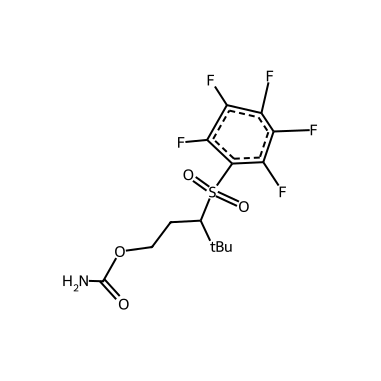 CC(C)(C)C(CCOC(N)=O)S(=O)(=O)c1c(F)c(F)c(F)c(F)c1F